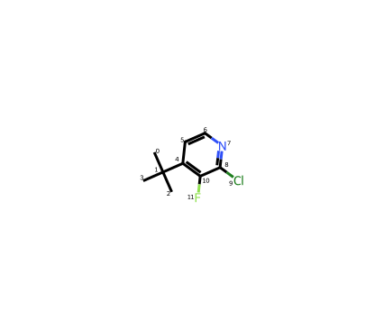 CC(C)(C)c1ccnc(Cl)c1F